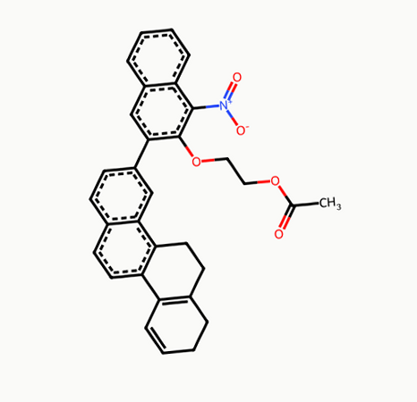 CC(=O)OCCOc1c(-c2ccc3ccc4c(c3c2)CCC2=C4C=CCC2)cc2ccccc2c1[N+](=O)[O-]